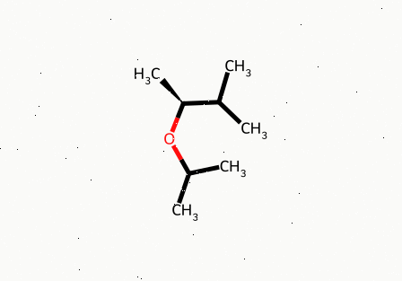 CC(C)O[C@@H](C)C(C)C